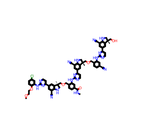 CNC(=O)c1ccc(COC[C@@]2(C)CNc3c(C#N)cc(-c4ccnc(Nc5cc(Cl)ccc5OCCOC)n4)cc32)c(Nc2nccc(-c3cc(C#N)c4c(c3)[C@@](C)(COCc3ccc(C#N)cc3Nc3nccc(-c5cc(C#N)c6c(c5)[C@@](C)(CO)CN6)n3)CN4)n2)c1